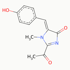 CC(=O)C1=NC(=O)C(=Cc2ccc(O)cc2)N1C